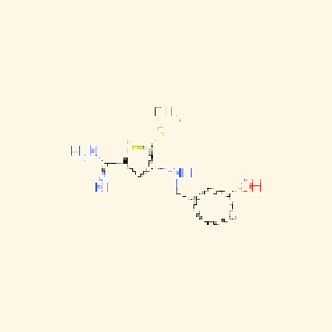 CSc1sc(C(=N)N)cc1NCc1cccc(O)c1